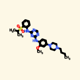 CCCCN1CCN(c2ccc(Nc3ncnc(Nc4ccccc4S(=O)(=O)C(C)C)n3)c(OC)c2)CC1